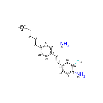 CCCCCc1ccc(/C=C/c2ccc(N)c(F)c2)cc1.N